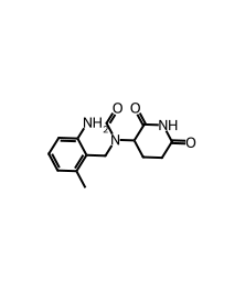 Cc1cccc(N)c1CN(C=O)C1CCC(=O)NC1=O